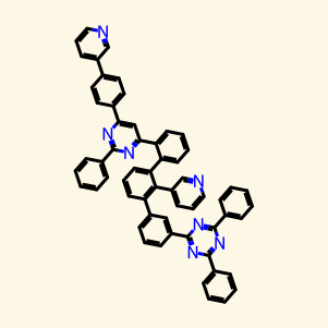 c1ccc(-c2nc(-c3ccc(-c4cccnc4)cc3)cc(-c3ccccc3-c3cccc(-c4cccc(-c5nc(-c6ccccc6)nc(-c6ccccc6)n5)c4)c3-c3cccnc3)n2)cc1